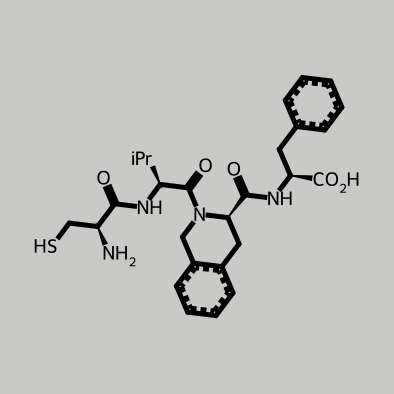 CC(C)[C@H](NC(=O)[C@@H](N)CS)C(=O)N1Cc2ccccc2C[C@@H]1C(=O)N[C@@H](Cc1ccccc1)C(=O)O